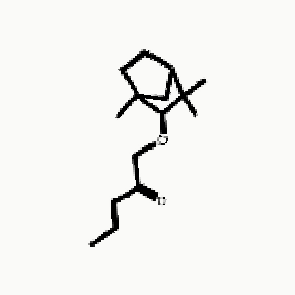 CCCC(=O)COC1C2(C)CCC(C2)C1(C)C